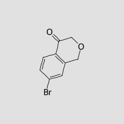 O=C1COCc2cc(Br)ccc21